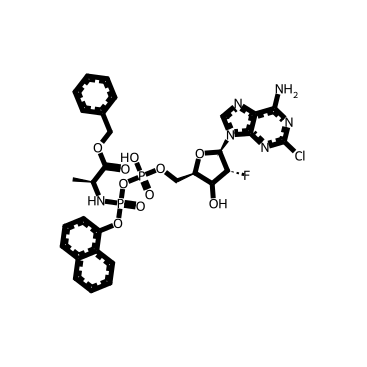 C[C@H](NP(=O)(Oc1cccc2ccccc12)OP(=O)(O)OC[C@H]1O[C@@H](n2cnc3c(N)nc(Cl)nc32)[C@H](F)C1O)C(=O)OCc1ccccc1